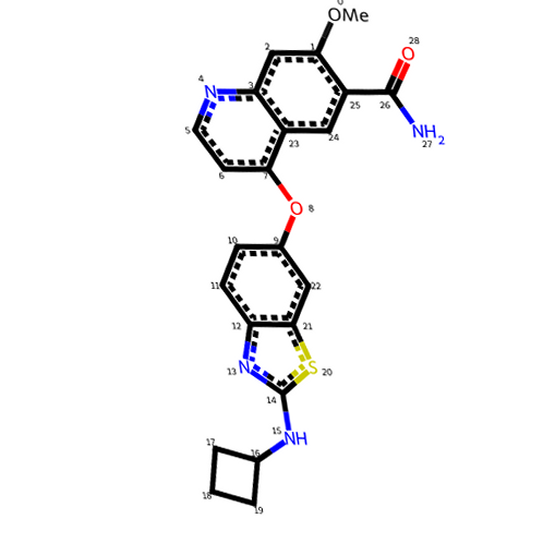 COc1cc2nccc(Oc3ccc4nc(NC5CCC5)sc4c3)c2cc1C(N)=O